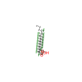 CCCC(F)C(F)(F)C(F)(F)C(F)(F)C(F)(F)C(F)(F)C(F)(F)C(F)(F)C(F)(F)S(=O)(=O)O